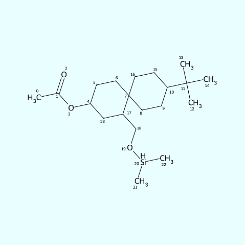 CC(=O)OC1CCC2(CCC(C(C)(C)C)CC2)C(CO[SiH](C)C)C1